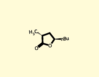 CCCC[C@@H]1C[C@@H](C)C(=O)O1